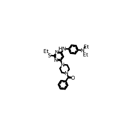 CCSc1nc(Nc2ccc(N(CC)CC)cc2)cc(N2CCN(C(=O)c3ccccc3)CC2)n1